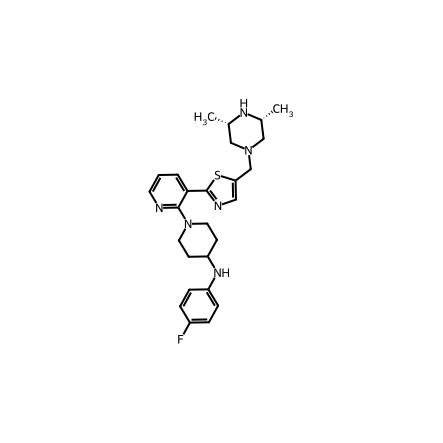 C[C@@H]1CN(Cc2cnc(-c3cccnc3N3CCC(Nc4ccc(F)cc4)CC3)s2)C[C@H](C)N1